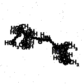 COc1cccc2c1C(=O)c1c(O)c3c(c(O)c1C2=O)C[C@@](O)(/C(CO)=N/NC(=O)CCCCCn1cc(CNC(=O)CCCCCO[C@H]2[C@H](O)[C@@H](O)[C@@H](OC[C@H]4O[C@H](OC)[C@H](O)[C@@H](O)[C@@H]4OCCCCCC(=O)O)O[C@@H]2CO[C@H]2OC(C)[C@@H](O)[C@H](O)[C@H]2O)nn1)CC3OC1CC(C)C(O)C(N)C1